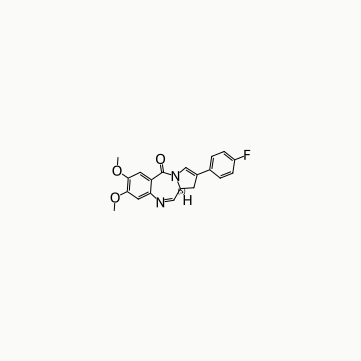 COc1cc2c(cc1OC)C(=O)N1C=C(c3ccc(F)cc3)C[C@H]1C=N2